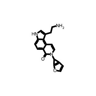 NCCc1c[nH]c2ccc3c(=O)n(C4c5ccoc54)ccc3c12